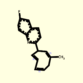 C/C1=C/C(c2ccc3cc(F)ccc3n2)/C=C/C=C\C1